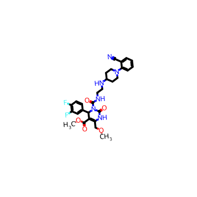 COCC1=C(C(=O)OC)C(c2ccc(F)c(F)c2)N(C(=O)NCCNC2CCN(c3ccccc3C#N)CC2)C(=O)N1